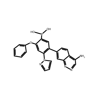 Nc1cnnc2cc(-c3cc(B(O)O)c(Oc4ccccc4)cc3-n3cccn3)ccc12